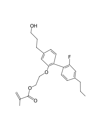 C=C(C)C(=O)OCCOc1cc(CCCO)ccc1-c1ccc(CCC)cc1F